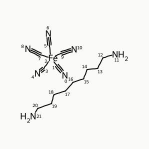 N#[C][Fe]([C]#N)([C]#N)([C]#N)[C]#N.NCCCCCCCCCN